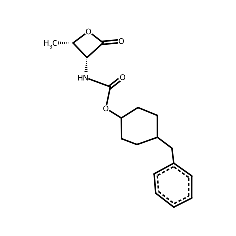 C[C@@H]1OC(=O)[C@@H]1NC(=O)OC1CCC(Cc2ccccc2)CC1